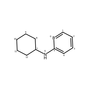 b1ccccc1NC1CCCCC1